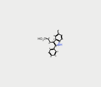 Cc1ccc2[nH]c(-c3ccccc3)c(CCC(=O)O)c2c1